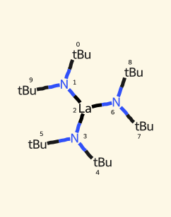 CC(C)(C)[N]([La]([N](C(C)(C)C)C(C)(C)C)[N](C(C)(C)C)C(C)(C)C)C(C)(C)C